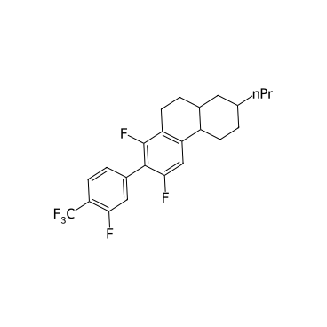 CCCC1CCC2c3cc(F)c(-c4ccc(C(F)(F)F)c(F)c4)c(F)c3CCC2C1